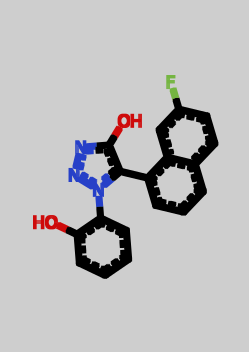 Oc1ccccc1-n1nnc(O)c1-c1cccc2ccc(F)cc12